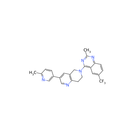 Cc1ccc(-c2cnc3c(c2)CN(c2nc(C)nc4ccc(C(F)(F)F)cc24)CC3)cn1